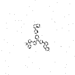 CC1(C)c2ccccc2-c2c(-c3cccc(N(c4ccc(-c5ccc(-c6cccc7ccccc67)cc5)cc4)c4ccc(-c5cccc6c5ccc5ccccc56)cc4)c3)cccc21